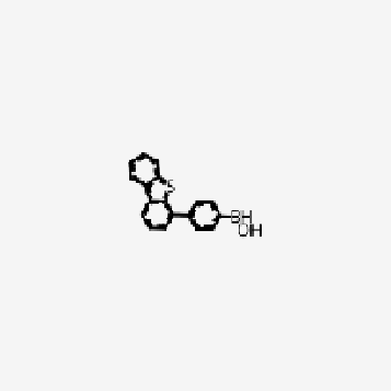 OBc1ccc(-c2cccc3c2sc2ccccc23)cc1